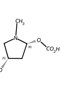 CN1C[C@@H](O)C[C@H]1OC(=O)O